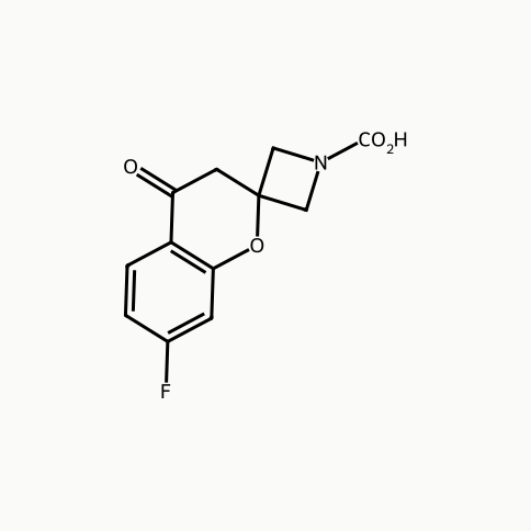 O=C1CC2(CN(C(=O)O)C2)Oc2cc(F)ccc21